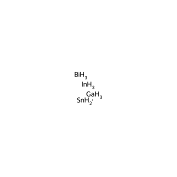 [BiH3].[GaH3].[InH3].[SnH2]